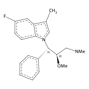 CNC[C@@H](OC)[C@H](c1ccccc1)n1cc(C)c2cc(F)ccc21